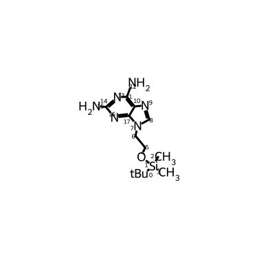 CC(C)(C)[Si](C)(C)OCCn1cnc2c(N)nc(N)nc21